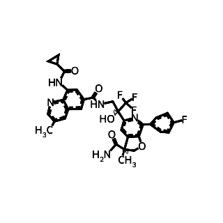 Cc1cnc2c(NC(=O)C3CC3)cc(C(=O)NC[C@](O)(c3cc4c(c(-c5ccc(F)cc5)n3)OC[C@]4(C)C(N)=O)C(F)(F)F)cc2c1